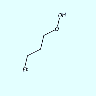 CCCCCOO